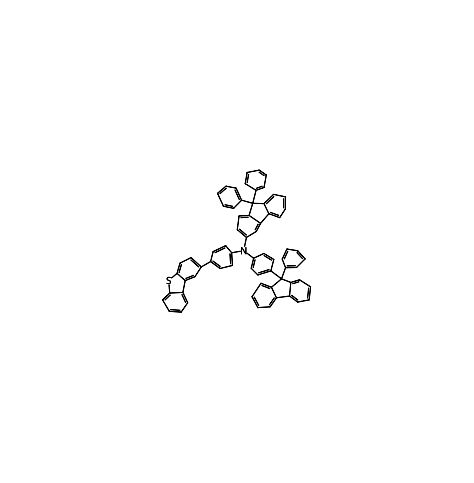 c1ccc(C2(c3ccc(N(c4ccc(-c5ccc6sc7ccccc7c6c5)cc4)c4ccc5c(c4)-c4ccccc4C5(c4ccccc4)c4ccccc4)cc3)c3ccccc3-c3ccccc32)cc1